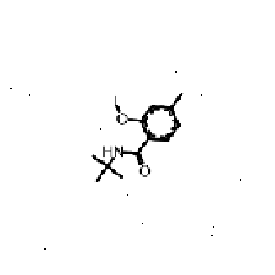 Cc1ccc(C(=O)NC(C)(C)C)c(OI)c1